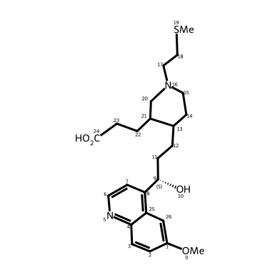 COc1ccc2nccc([C@@H](O)CCC3CCN(CCSC)CC3CCC(=O)O)c2c1